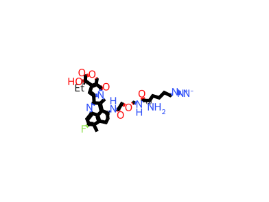 CC[C@@]1(O)C(=O)OCc2c1cc1n(c2=O)Cc2c-1nc1cc(F)c(C)c3c1c2[C@@H](NC(=O)COCNC(=O)[C@@H](N)CCCCN=[N+]=[N-])CC3